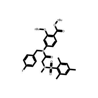 CCCCOC(=O)c1ccc(N(Cc2ccc(F)cc2)C(=O)CN(C)S(=O)(=O)c2c(C)cc(C)cc2C)cc1OCCCC